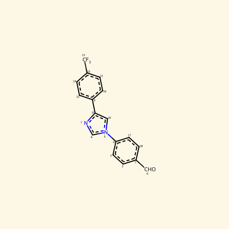 O=Cc1ccc(-n2cnc(-c3ccc(C(F)(F)F)cc3)c2)cc1